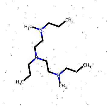 CCCN(C)CCN(CCC)CCN(C)CCC